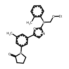 CCOCN(c1ncc(-c2cc(C)cc(N3CCCC3=O)c2)o1)c1ccccc1C